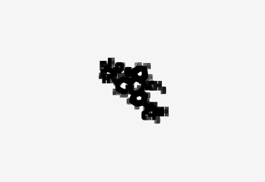 CC(=NO)c1ccc2c(c1)N(C)c1cccc(C)c1[C@H]1C[C@H](NC(=O)C(F)(F)F)CCN21